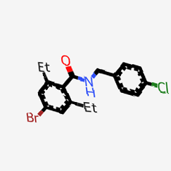 CCc1cc(Br)cc(CC)c1C(=O)NCc1ccc(Cl)cc1